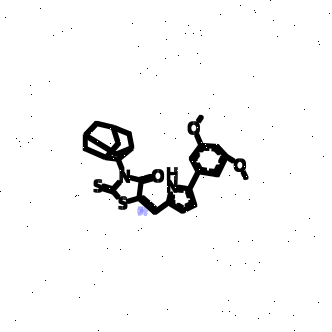 COc1cc(OC)cc(-c2ccc(/C=C3/SC(=S)N(C4C5CC6CC(C5)CC4C6)C3=O)[nH]2)c1